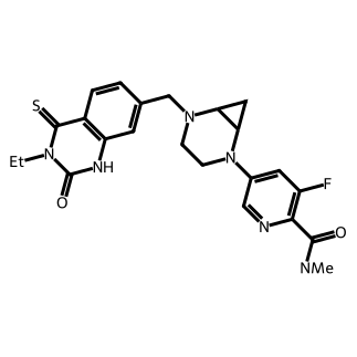 CCn1c(=O)[nH]c2cc(CN3CCN(c4cnc(C(=O)NC)c(F)c4)C4CC43)ccc2c1=S